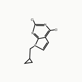 Clc1nc(Cl)c2ccn(CC3CC3)c2n1